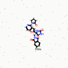 COc1ccc2c(c1)C(=O)N(C[C@@]1(c3cc4c(N5CCCC5=O)nccc4o3)NC(=O)NC1=O)C2